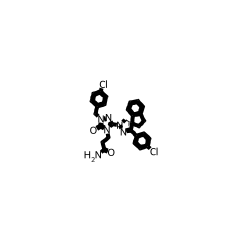 NC(=O)CCn1c(N2C[C@]3(CCc4ccccc43)C(c3ccc(Cl)cc3)=N2)nn(Cc2ccc(Cl)cc2)c1=O